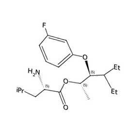 CCC(CC)[C@H](Oc1cccc(F)c1)[C@H](C)OC(=O)[C@@H](N)CC(C)C